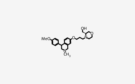 COc1ccc(C2CN(C)Cc3cc(OCCCN4CCOC[C@@H]4CO)ccc32)cc1